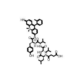 Cc1ccccc1C1=C2C=CC(=N)C=C2[Si](C)(C)c2cc(NC(=O)[C@H](Cc3ccc(O)cc3)NC(=O)[C@@H](NC(=O)[C@H](CC(C)C)NC(=O)[C@H](CC(C)C)NC(=O)CCC(=O)O)C(C)C)ccc21